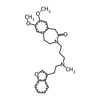 COc1cc2c(cc1OC)CC(=O)N(CCCN(C)CCc1coc3ccccc13)CC2